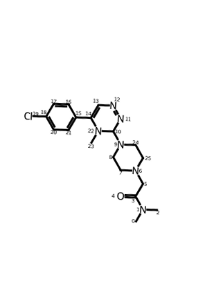 CN(C)C(=O)CN1CCN(C2N=NC=C(c3ccc(Cl)cc3)N2C)CC1